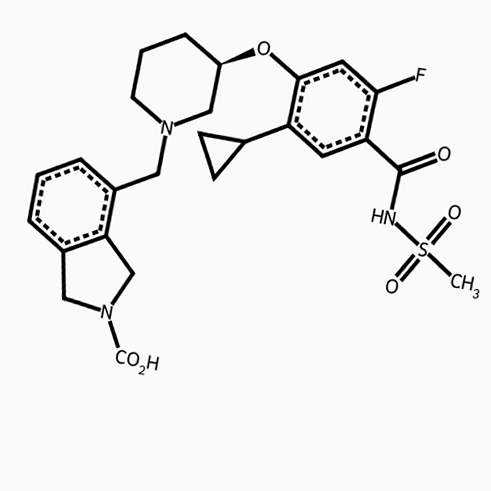 CS(=O)(=O)NC(=O)c1cc(C2CC2)c(O[C@@H]2CCCN(Cc3cccc4c3CN(C(=O)O)C4)C2)cc1F